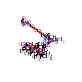 CC[C@H](C)[C@@H]([C@@H](CC(=O)N1CCC[C@H]1[C@H](OC)[C@@H](C)C(=O)N[C@H](C)[C@@H](O)c1ccccc1)OC)N(C)C(=O)[C@@H](NC(=O)[C@H](C(C)C)N(C)C(=O)OCc1ccc(NC(=O)[C@H](CCCNC(N)=O)NC(=O)[C@@H](NC(=O)CCOCCOCCOCCOCCNC(=O)CCN2C(=O)C=CC2=O)C(C)C)cc1)C(C)C